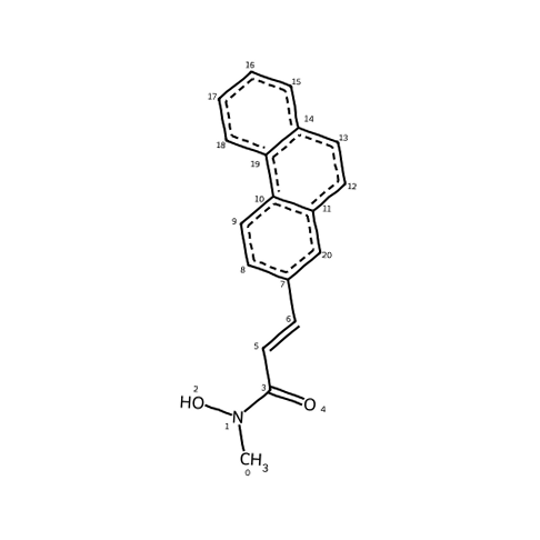 CN(O)C(=O)C=Cc1ccc2c(ccc3ccccc32)c1